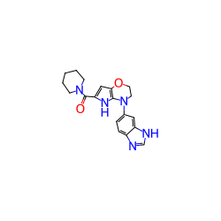 O=C(c1cc2c([nH]1)N(c1ccc3nc[nH]c3c1)CCO2)N1CCCCC1